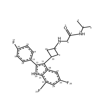 CC(C)NC(=O)CNC1CC(c2c(-c3ccc(F)cc3)[nH]c3c(F)cc(F)cc23)C1